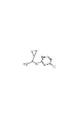 CC(Oc1cc(Cl)ncn1)C1CC1